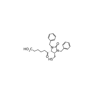 O=C(O)CCCCC(=O)[C@H]1[C@H](CS)N(Cc2ccccc2)C(=O)N1Cc1ccccc1